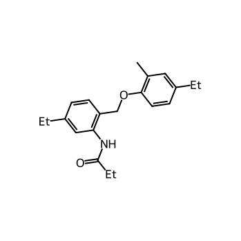 CCC(=O)Nc1cc(CC)ccc1COc1ccc(CC)cc1C